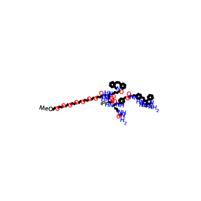 CCCCN/C(Cc1ccc(CNC(=O)OCc2ccc(NC(=O)[C@H](CCCNC(N)=O)NC(=O)[C@@H](NC(=O)[C@H](CNC(=O)CCOCCOCCOCCOCCOCCOCCOCCOC)NC(=O)CCC(=O)N3Cc4ccccc4/C=C\c4ccccc43)C(C)C)cc2)cc1)=C1\C(=N)C(N)=Nc2ccccc21